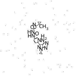 CC1(c2cc(NC(=O)Nc3ccc(-c4nn(C5CC5)c5ncnc(N)c45)nc3)on2)CC1